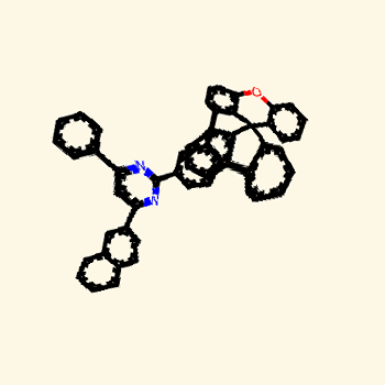 c1ccc(-c2cc(-c3ccc4ccccc4c3)nc(-c3cccc(-c4cccc5c4C4(c6ccccc6O5)c5ccccc5-c5ccccc54)c3)n2)cc1